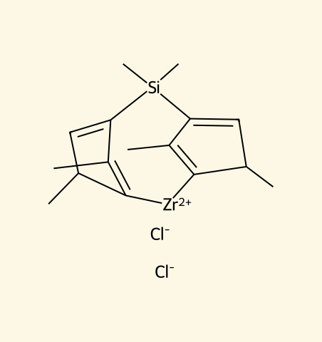 CC1=[C]2[Zr+2][C]3=C(C)C(=CC3C)[Si](C)(C)C1=CC2C.[Cl-].[Cl-]